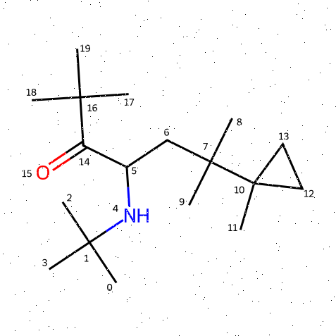 CC(C)(C)NC(CC(C)(C)C1(C)CC1)C(=O)C(C)(C)C